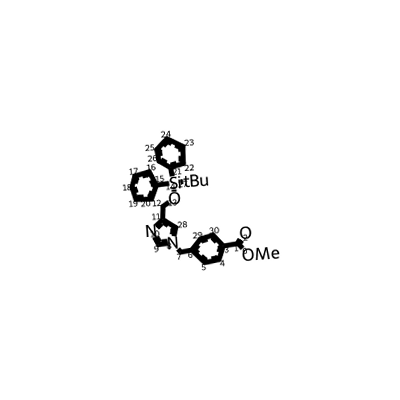 COC(=O)c1ccc(Cn2cnc(CO[Si](c3ccccc3)(c3ccccc3)C(C)(C)C)c2)cc1